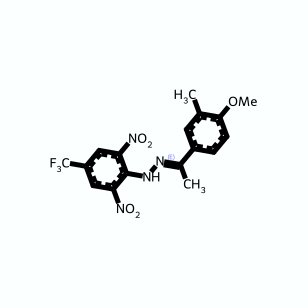 COc1ccc(/C(C)=N/Nc2c([N+](=O)[O-])cc(C(F)(F)F)cc2[N+](=O)[O-])cc1C